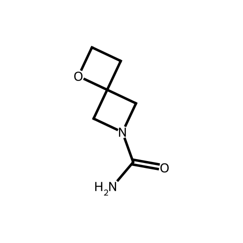 NC(=O)N1CC2(CCO2)C1